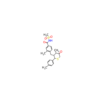 Cc1ccc(C2SCC(=O)C(C)C2Cc2ccc(C(=O)NS(C)(=O)=O)cc2C)cc1